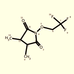 CC1C(=O)N(OCC(F)(F)F)C(=O)C1C